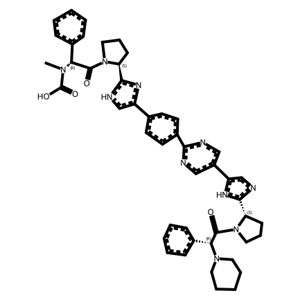 CN(C(=O)O)[C@@H](C(=O)N1CCC[C@H]1c1nc(-c2ccc(-c3ncc(-c4cnc([C@@H]5CCCN5C(=O)[C@@H](c5ccccc5)N5CCCCC5)[nH]4)cn3)cc2)c[nH]1)c1ccccc1